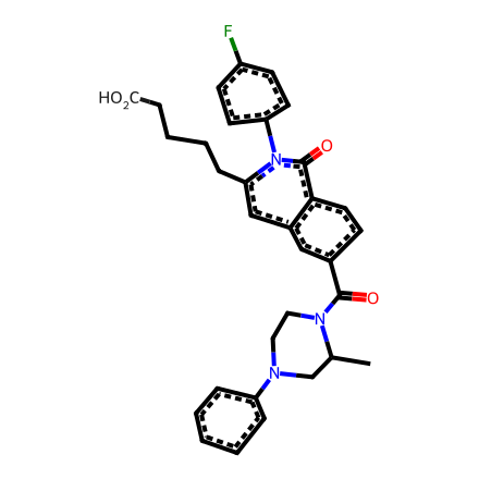 CC1CN(c2ccccc2)CCN1C(=O)c1ccc2c(=O)n(-c3ccc(F)cc3)c(CCCCC(=O)O)cc2c1